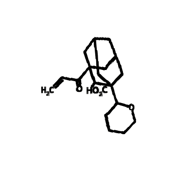 C=CC(=O)C12CC3CC(C1)CC(C1CCCCO1)(C3)C2C(=O)O